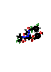 COc1ccc(CS(=O)(=O)[C@@H]2C[C@@H](C(=O)N[C@H](C(=O)C(F)(F)F)C(C)C)N(C(=O)[C@H](C)NC(=O)C(F)(F)c3cccc(Cl)c3)C2)cc1